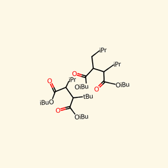 CC(C)COC(=O)C(C(C)C)C(C(=O)OCC(C)C)C(C)(C)C.CC(C)COC(=O)C(CC(C)C)C(C(=O)OCC(C)C)C(C)C